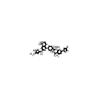 CO[C@]1(C(=O)N[C@@H](C)c2ccc(-n3cc(F)cn3)nc2)CC[C@H](c2nc(Nc3cc(C)[nH]n3)cc3c2C=CNN3)CC1